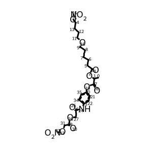 CC(OC(=O)CCCCCOCCCCO[N+](=O)[O-])C(=O)Oc1ccc(NC(=O)COC(=O)CO[N+](=O)[O-])cc1